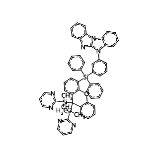 C[Si](C)(c1ncccn1)C1([Si](C)(C)c2ncccn2)c2ccccc2Oc2c1cccc2[Si](c1ccccc1)(c1ccccc1)c1cccc(-n2c3ccccc3n3c4ccccc4nc23)c1